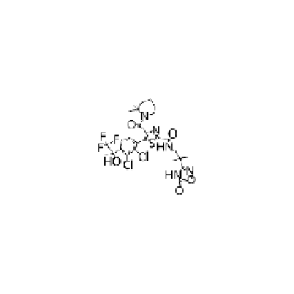 C[C@H]1CCCCN1C(=O)c1nc(C(=O)NCC(C)(C)c2noc(=O)[nH]2)sc1-c1ccc(C(C)(O)C(F)(F)F)c(Cl)c1Cl